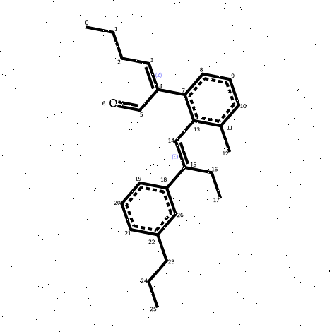 CCC/C=C(\C=O)c1cccc(C)c1/C=C(\CC)c1cccc(CCC)c1